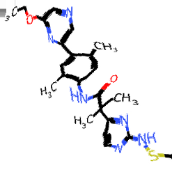 CCOc1cncc(-c2cc(C)c(NC(=O)C(C)(C)c3ccnc(NSC4CC4)n3)cc2C)n1